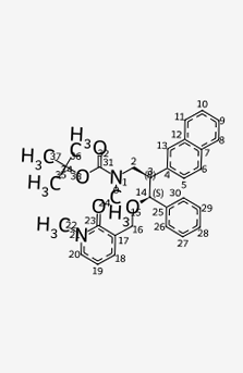 CN(C[C@@H](c1ccc2ccccc2c1)[C@H](OCc1cccn(C)c1=O)c1ccccc1)C(=O)OC(C)(C)C